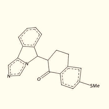 CSc1ccc2c(c1)CCC(C1c3ccccc3-c3cncn31)C2=O